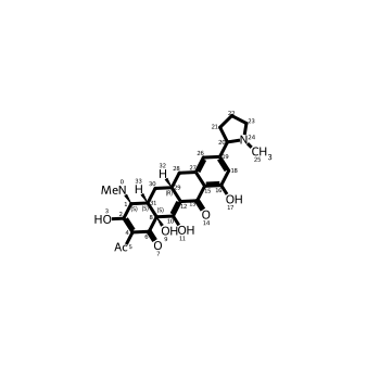 CN[C@@H]1C(O)=C(C(C)=O)C(=O)[C@@]2(O)C(O)=C3C(=O)c4c(O)cc(C5CCCN5C)cc4C[C@H]3C[C@@H]12